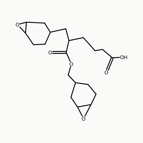 O=C(O)CCCC(CC1CCC2OC2C1)C(=O)OCC1CCC2OC2C1